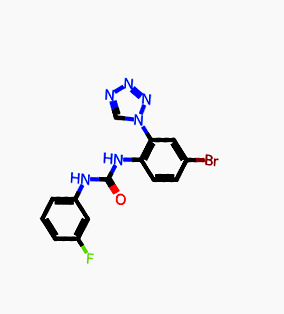 O=C(Nc1cccc(F)c1)Nc1ccc(Br)cc1-n1cnnn1